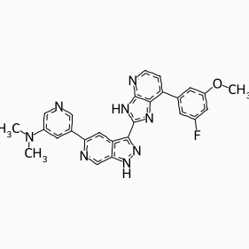 COc1cc(F)cc(-c2ccnc3[nH]c(-c4n[nH]c5cnc(-c6cncc(N(C)C)c6)cc45)nc23)c1